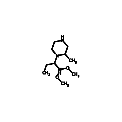 CCC(N1CCNCC1C)[SiH](OC)OC